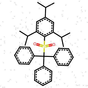 CC(C)c1cc(C(C)C)c(S(=O)(=O)C(c2ccccc2)(c2ccccc2)c2ccccc2)c(C(C)C)c1